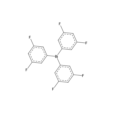 Fc1cc(F)c[c]([Bi]([c]2cc(F)cc(F)c2)[c]2cc(F)cc(F)c2)c1